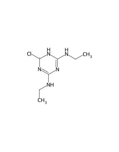 CCNC1=N[C](Cl)NC(NCC)=N1